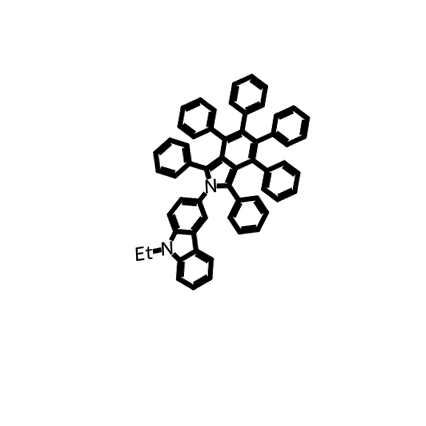 CCn1c2ccccc2c2cc(-n3c(-c4ccccc4)c4c(-c5ccccc5)c(-c5ccccc5)c(-c5ccccc5)c(-c5ccccc5)c4c3-c3ccccc3)ccc21